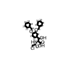 O=C(CCl)N[C@H](C(=O)O)C(O)c1ccc(OCc2ccccc2)c(OCc2ccccc2)c1